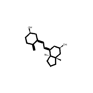 C=C1CC[C@@H](O)C/C1=C/C=C1\C[C@@H](O)C[C@]2(C)CCC[C@@H]12